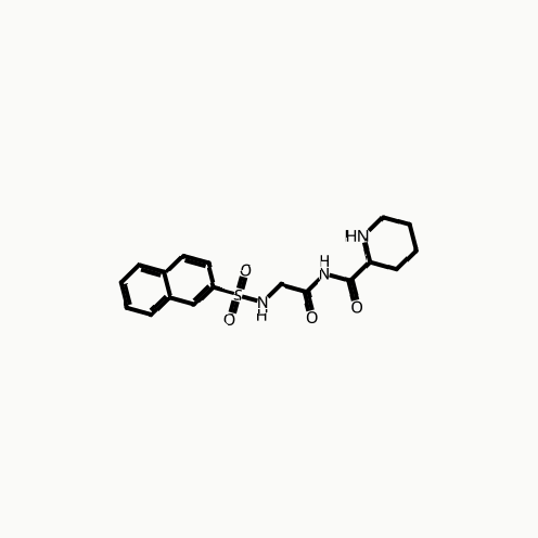 O=C(CNS(=O)(=O)c1ccc2ccccc2c1)NC(=O)C1CCCCN1